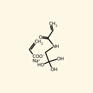 C=CC(=O)NCC(O)(O)O.C=CC(=O)[O-].[Na+]